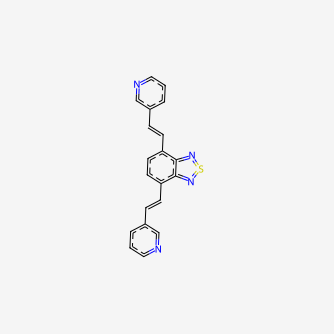 C(=C\c1ccc(/C=C/c2cccnc2)c2nsnc12)/c1cccnc1